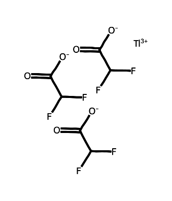 O=C([O-])C(F)F.O=C([O-])C(F)F.O=C([O-])C(F)F.[Tl+3]